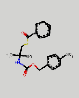 CCCC(C)(CSC(=O)c1ccccc1)NC(=O)OCc1ccc([N+](=O)[O-])cc1